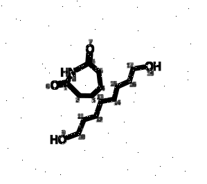 O=C1CCCCC(=O)N1.OCCCCCCCCO